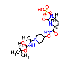 C=C(NC(=O)OC(C)(C)C)N1CCC(ONC(=O)[C@@H]2CC[C@@H]3CN2C(=O)N3OS(=O)(=O)O)CC1